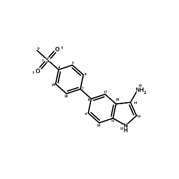 CS(=O)(=O)c1ccc(-c2ccc3[nH]cc(N)c3c2)cc1